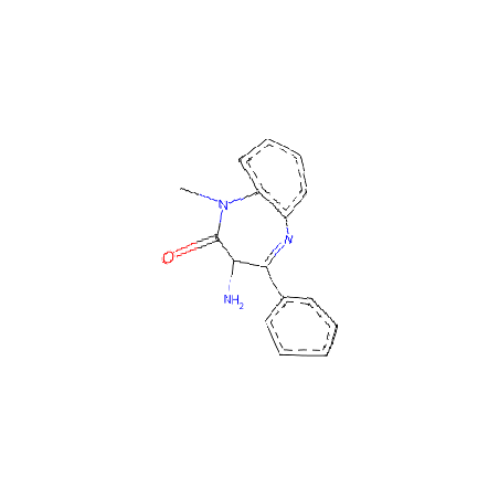 CN1C(=O)C(N)C(c2ccccc2)=Nc2ccccc21